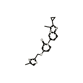 Cc1csc(COc2ccn(-c3ccc4nc(C5CC5)c(C)n4c3)c(=O)c2)n1